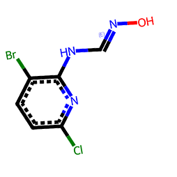 O/N=C/Nc1nc(Cl)ccc1Br